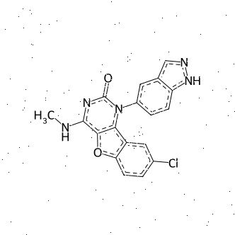 CNc1nc(=O)n(-c2ccc3[nH]ncc3c2)c2c1oc1ccc(Cl)cc12